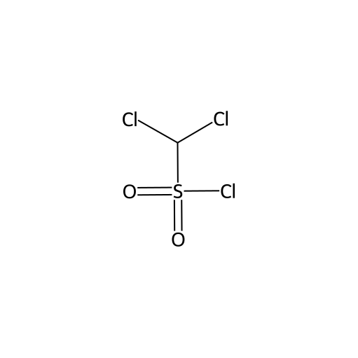 O=S(=O)(Cl)C(Cl)Cl